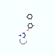 N#Cc1cc(COc2cc3n(c(=O)n2)CCCCCN3)ccc1Oc1cc(F)cc(F)c1